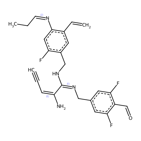 C#C/C=C(N)\C(=N/Cc1cc(F)c(C=O)c(F)c1)NCc1cc(C=C)c(/N=C\CC)cc1F